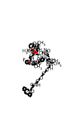 CCCCCCN(C(=O)[C@@H](NC(=O)[C@H]1CCCCN1C)[C@@H](C)CC)[C@H](C[C@@H](OC(C)=O)c1nc(C(=O)N[C@@H](Cc2ccc(F)cc2)CC(C)(C)C(=O)NS(=O)(=O)c2ccc(NC(=O)[C@H](CCCNC(N)=O)NC(=O)[C@@H](NC(=O)CCOCCOCCOCCOCCNC(=O)CCC(=O)N3Cc4ccccc4C#Cc4ccccc43)C(C)C)cc2)cs1)C(C)C